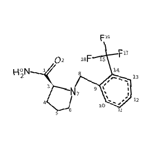 NC(=O)[C@@H]1CCCN1Cc1ccccc1C(F)(F)F